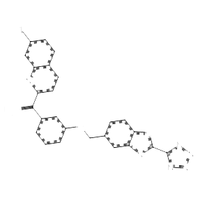 C=C(c1cccc(OCc2ccc3oc(-c4nnn[nH]4)nc3c2)c1)c1ccc2ccc(Cl)cc2n1